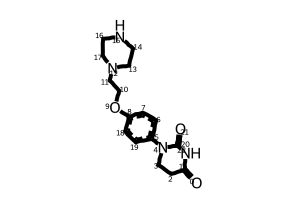 O=C1CCN(c2ccc(OCCN3CCNCC3)cc2)C(=O)N1